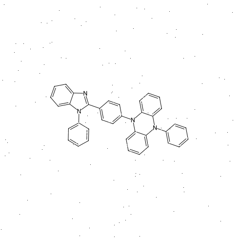 c1ccc(N2c3ccccc3N(c3ccc(-c4nc5ccccc5n4-c4ccccc4)cc3)c3ccccc32)cc1